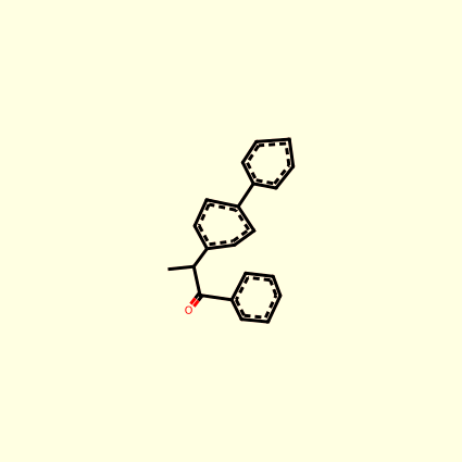 CC(C(=O)c1ccccc1)c1ccc(-c2ccccc2)cc1